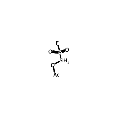 CC(=O)O[SiH2]S(=O)(=O)F